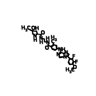 CC[C@@]1(O)CN[C@H](C(=O)NCCNC(=O)c2ccc(Nc3nccn4c(-c5ccc(OC)c(F)c5F)cnc34)cc2C)C1